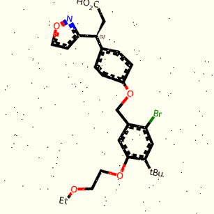 CCOCCOc1cc(COc2ccc([C@H](CC(=O)O)c3ccon3)cc2)c(Br)cc1C(C)(C)C